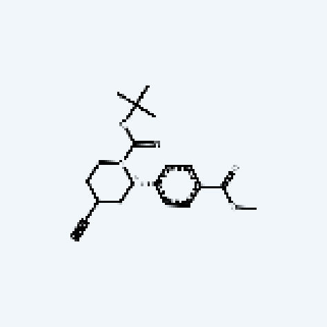 C#CC1CCN(C(=O)OC(C)(C)C)[C@H](c2ccc(C(=O)OC)cc2)C1